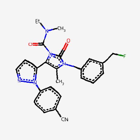 CCN(C)C(=O)n1c(-c2ccnn2-c2ccc(C#N)cc2)c(C)n(-c2cccc(CF)c2)c1=O